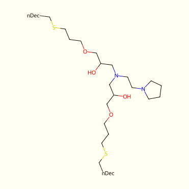 CCCCCCCCCCCSCCCOCC(O)CN(CCN1CCCC1)CC(O)COCCCSCCCCCCCCCCC